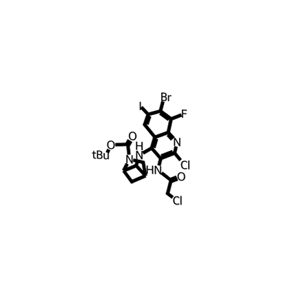 CC(C)(C)OC(=O)N1CC2CC1C2Nc1c(NC(=O)CCl)c(Cl)nc2c(F)c(Br)c(I)cc12